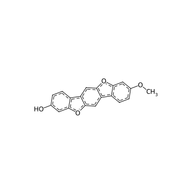 COc1ccc2c(c1)oc1cc3c(cc12)oc1cc(O)ccc13